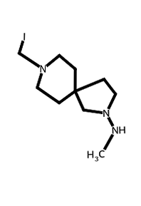 CNN1CCC2(CCN(CI)CC2)C1